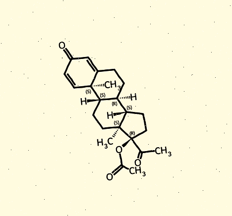 CC(=O)O[C@]1(C(C)=O)CC[C@H]2[C@@H]3CCC4=CC(=O)C=C[C@]4(C)[C@H]3CC[C@@]21C